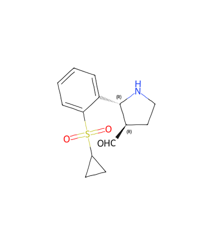 O=C[C@@H]1CCN[C@H]1c1ccccc1S(=O)(=O)C1CC1